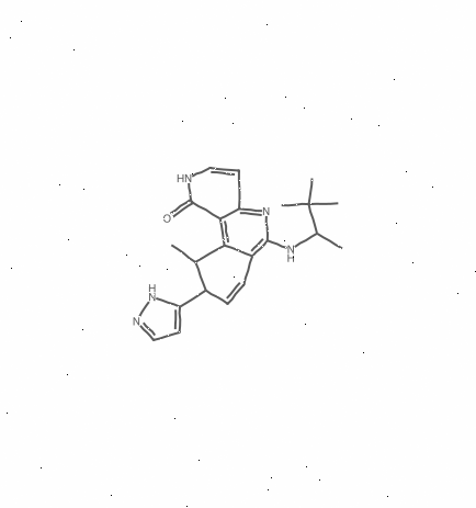 CC1c2c(c(NC(C)C(C)(C)C)nc3cc[nH]c(=O)c23)C=CC1c1ccn[nH]1